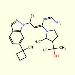 CCC(/C=C(\N=C/N)N1CCC(C(C)(C)O)C1C)n1ncc2ccc(C3(C#N)CCC3)cc21